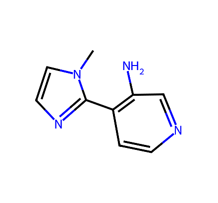 Cn1ccnc1-c1ccncc1N